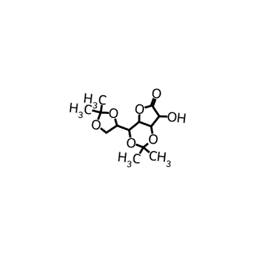 CC1(C)OCC(C2OC(C)(C)OC3C(O)C(=O)OC23)O1